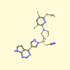 CSc1nc(N2CC[C@H]([C@H](CC#N)n3cc(-c4ncnc5[nH]ccc45)cn3)C2)c(F)cc1F